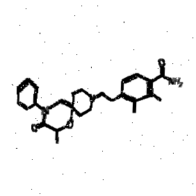 Cc1c(CCN2CCC3(CC2)CN(c2ccccc2)C(=O)C(C)O3)ccc(C(N)=O)c1C